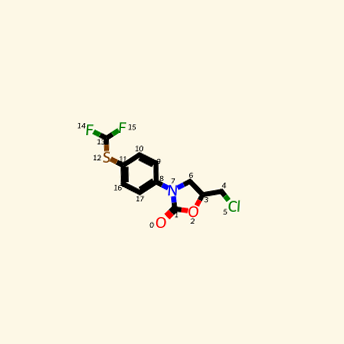 O=C1OC(CCl)CN1c1ccc(SC(F)F)cc1